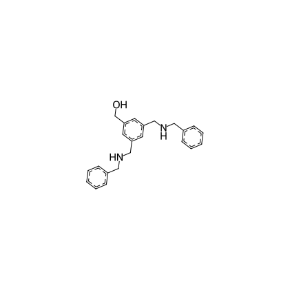 OCc1cc(CNCc2ccccc2)cc(CNCc2ccccc2)c1